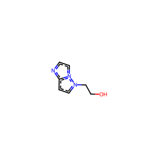 OCCn1ccc2nccn21